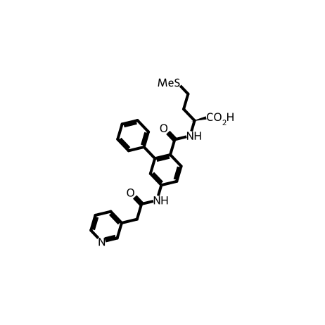 CSCC[C@H](NC(=O)c1ccc(NC(=O)Cc2cccnc2)cc1-c1ccccc1)C(=O)O